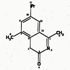 CC1=NC(=O)Cc2c(C)cc(C(C)C)cc21